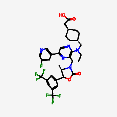 CCN(C[C@H]1CC[C@H](CC(=O)O)CC1)c1ncc(-c2cncc(F)c2)nc1CN1C(=O)OC(c2cc(C(F)(F)F)cc(C(F)(F)F)c2)[C@@H]1C